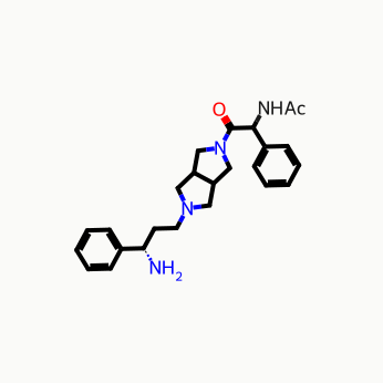 CC(=O)NC(C(=O)N1CC2CN(CC[C@H](N)c3ccccc3)CC2C1)c1ccccc1